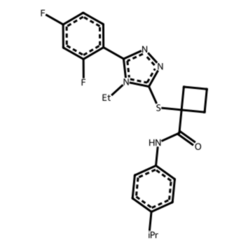 CCn1c(SC2(C(=O)Nc3ccc(C(C)C)cc3)CCC2)nnc1-c1ccc(F)cc1F